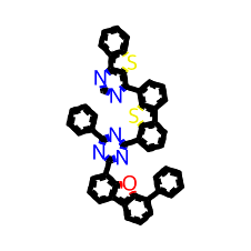 c1ccc(-c2nc(-c3cccc4c3oc3c(-c5ccccc5)cccc34)nc(-c3cccc4c3sc3c(-c5ncnc6c5sc5ccccc56)cccc34)n2)cc1